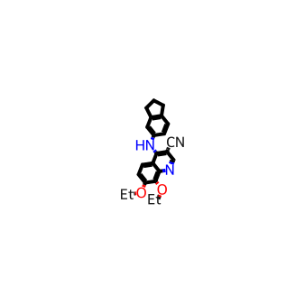 CCOc1ccc2c(Nc3ccc4c(c3)CCC4)c(C#N)cnc2c1OCC